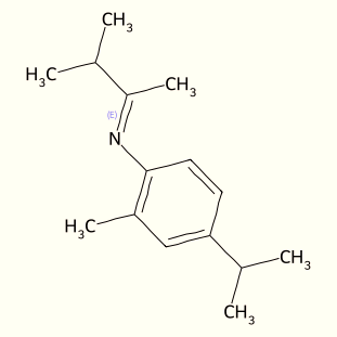 C/C(=N\c1ccc(C(C)C)cc1C)C(C)C